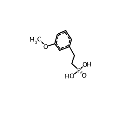 COc1cccc(CCP(=O)(O)O)c1